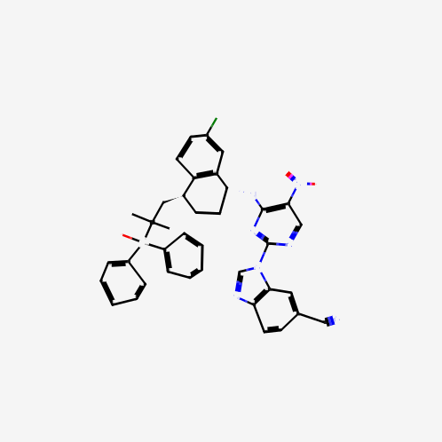 CC(C)(C[C@@H]1CC[C@@H](Nc2nc(-n3cnc4ccc(C#N)cc43)ncc2[N+](=O)[O-])c2cc(F)ccc21)[Si](O)(c1ccccc1)c1ccccc1